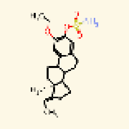 CC=C1CCC2C3CCc4cc(OS(N)(=O)=O)c(OCC)cc4C3CC[C@]12C